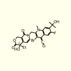 CC[C@@]1(O)C(=O)OCc2c1ccn(CC1=C(Br)C(=C=O)c3cc(F)c(C(C)(C)O)cc3N1C)c2=O